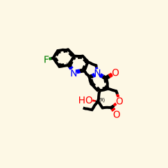 CC[C@@]1(O)CC(=O)OCc2c1cc1n(c2=O)Cc2cc3ccc(F)cc3nc2-1